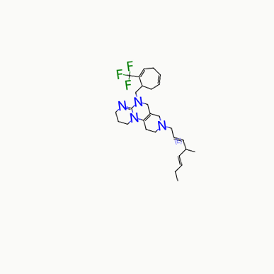 CCC=CC(C)/C=C/CN1CCC2=C(C1)CN(CC1CC=CCC=C1C(F)(F)F)C1=NCCCN12